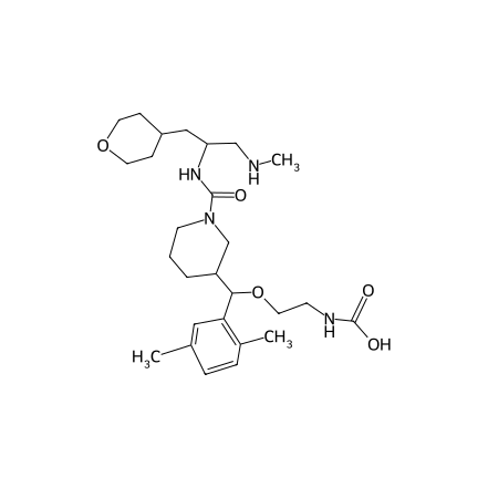 CNCC(CC1CCOCC1)NC(=O)N1CCCC(C(OCCNC(=O)O)c2cc(C)ccc2C)C1